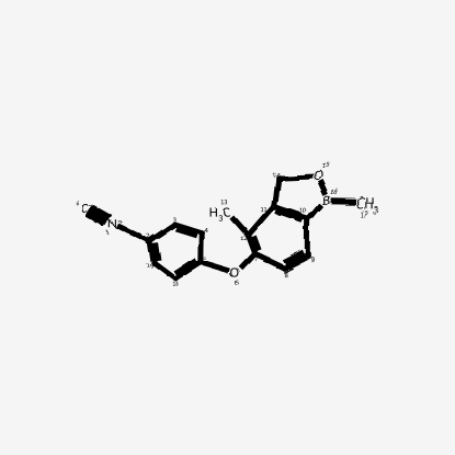 [C-]#[N+]c1ccc(Oc2ccc3c(c2C)COB3C)cc1